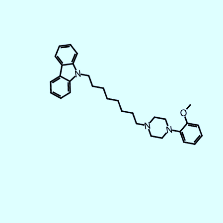 COc1ccccc1N1CCN(CCCCCCCCn2c3ccccc3c3ccccc32)CC1